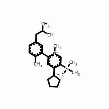 Cc1ccc(CC(C)C)cc1-c1cc(C2CCCC2)c([Si](C)(C)C)c[n+]1C